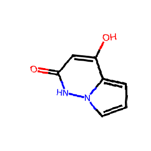 O=c1cc(O)c2cccn2[nH]1